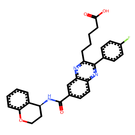 O=C(O)CCCCc1nc2cc(C(=O)N[C@H]3CCOc4ccccc43)ccc2nc1-c1ccc(F)cc1